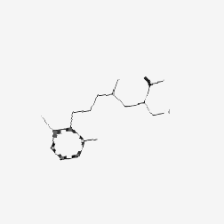 Cc1cccc(C)c1CCCC(C)CC(CN)C(=O)O